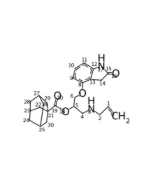 C=CCNCC(COc1cccc2c1CC(=O)N2)OC(=O)C12CC3CC(CC(C3)C1)C2